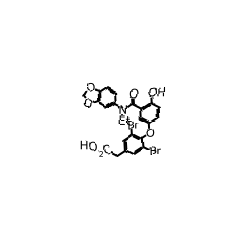 CCN(C(=O)c1cc(Oc2c(Br)cc(CC(=O)O)cc2Br)ccc1O)c1ccc2c(c1)OCO2